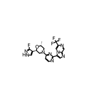 C[C@@H]1CN(c2ccnc(-c3cnc4cnc(C(F)(F)F)cn34)n2)C[C@@H](c2c[nH]nc2F)O1